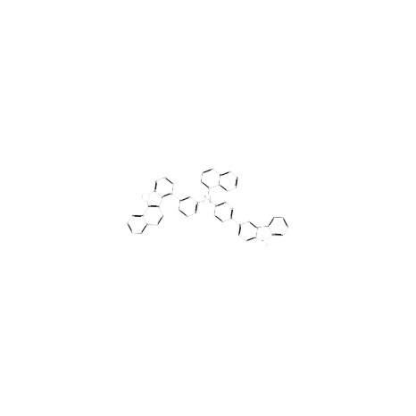 c1cc(-c2cccc3oc4c5ccccc5ccc4c23)cc(N(c2ccc(-c3ccc4sc5ccccc5c4c3)cc2)c2cccc3ccccc23)c1